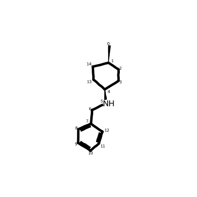 C[C@H]1CC[C@@H](NCc2ccccc2)CC1